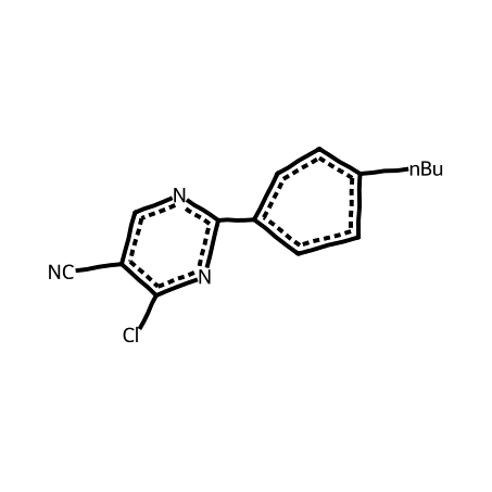 CCCCc1ccc(-c2ncc(C#N)c(Cl)n2)cc1